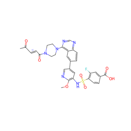 COc1ncc(-c2ccc3ncnc(N4CCN(C(=O)/C=C/C(C)=O)CC4)c3c2)cc1NS(=O)(=O)c1ccc(C(=O)O)cc1F